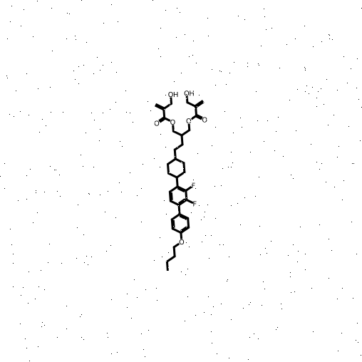 C=C(CO)C(=O)OCC(CCC1CCC(c2ccc(-c3ccc(OCCCC)cc3)c(F)c2F)CC1)COC(=O)C(=C)CO